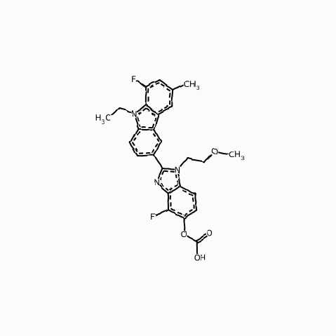 CCn1c2ccc(-c3nc4c(F)c(OC(=O)O)ccc4n3CCOC)cc2c2cc(C)cc(F)c21